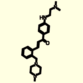 CN(C)CCNc1ccc(C(=O)C=Cc2ccccc2CN2CCN(C)CC2)cc1